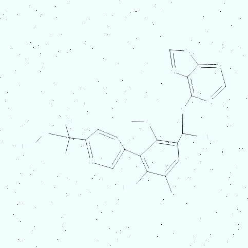 COc1c(C(C)Nc2ncnc3[nH]cnc23)cc(Cl)c(C)c1-c1ccc(C(C)(C)OC)nc1